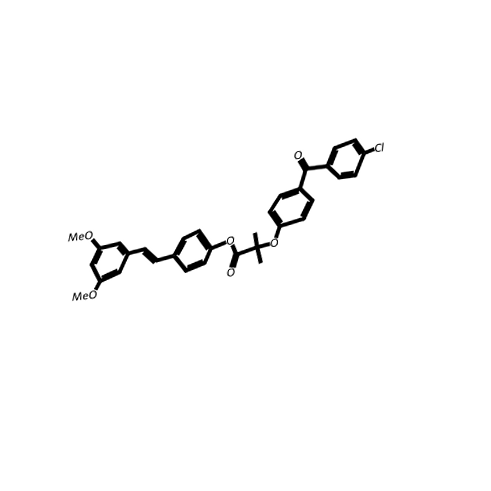 COc1cc(/C=C/c2ccc(OC(=O)C(C)(C)Oc3ccc(C(=O)c4ccc(Cl)cc4)cc3)cc2)cc(OC)c1